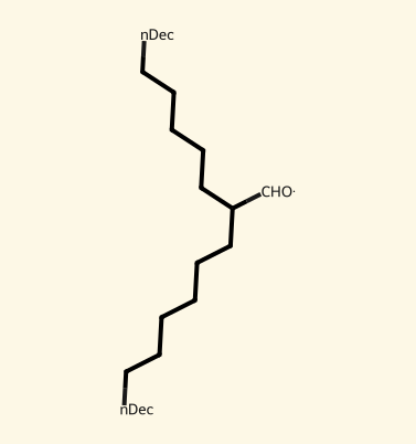 CCCCCCCCCCCCCCCCC([C]=O)CCCCCCCCCCCCCCC